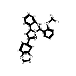 FC(F)Oc1ccccc1C1Oc2ccccc2C2CC(c3ccc4c(c3)OCCO4)=NN21